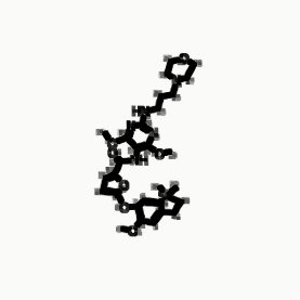 COc1cc2c(cc1Oc1ccc(C(=O)Nc3c(OC)nc(NCCCN4CCOCC4)nc3OC)o1)[Si](C)(C)CC2